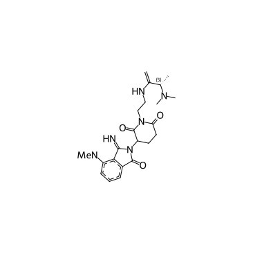 C=C(NCCN1C(=O)CCC(N2C(=N)c3c(NC)cccc3C2=O)C1=O)[C@H](C)N(C)C